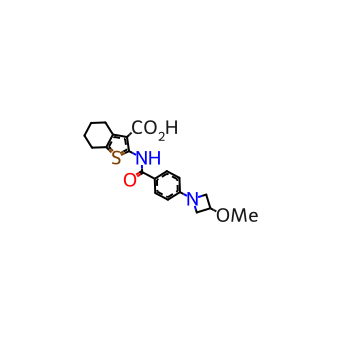 COC1CN(c2ccc(C(=O)Nc3sc4c(c3C(=O)O)CCCC4)cc2)C1